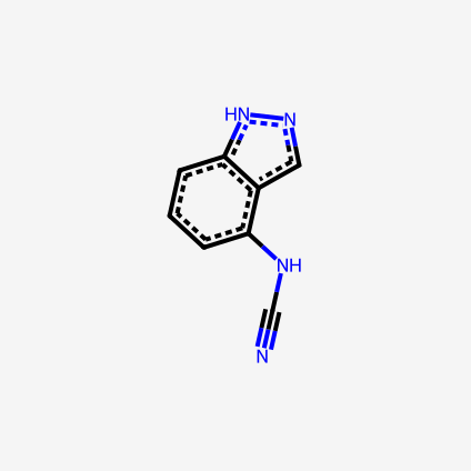 N#CNc1cccc2[nH]ncc12